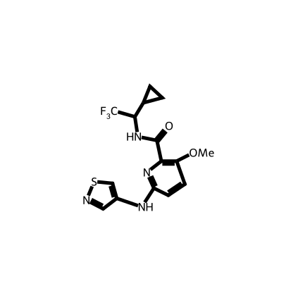 COc1ccc(Nc2cnsc2)nc1C(=O)NC(C1CC1)C(F)(F)F